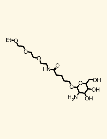 CCOCCOCCOCCNC(=O)CCCCOC1OC(CO)C(O)C(O)C1N